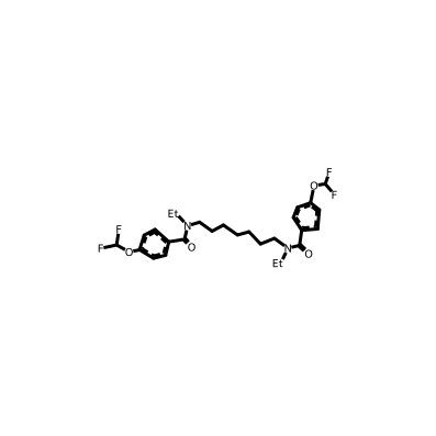 CCN(CCCCCCCN(CC)C(=O)c1ccc(OC(F)F)cc1)C(=O)c1ccc(OC(F)F)cc1